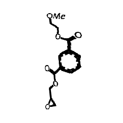 COCCOC(=O)c1cccc(C(=O)OCC2CO2)c1